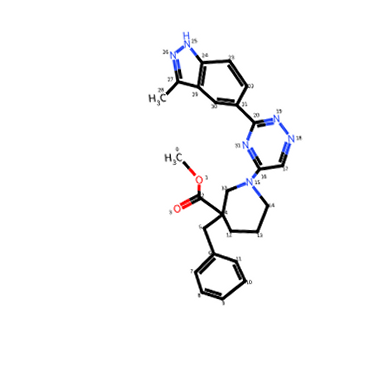 COC(=O)C1(Cc2ccccc2)CCCN(c2cnnc(-c3ccc4[nH]nc(C)c4c3)n2)C1